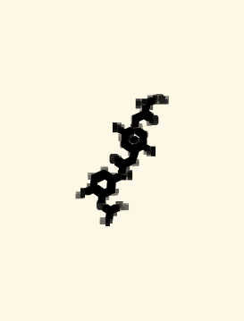 CC(C)(C)NC(=O)CN1C[C@@H]2CC[C@H]1CN2CC(=O)Nc1ccc(F)c(OC(F)F)c1